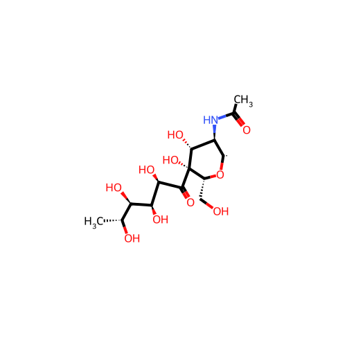 CC(=O)N[C@H]1[CH]O[C@H](CO)[C@@](O)(C(=O)[C@H](O)[C@@H](O)[C@H](O)[C@@H](C)O)[C@@H]1O